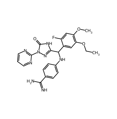 CCOc1cc(C(Nc2ccc(C(=N)N)cc2)c2nn(-c3ncccn3)c(=O)[nH]2)c(F)cc1OC